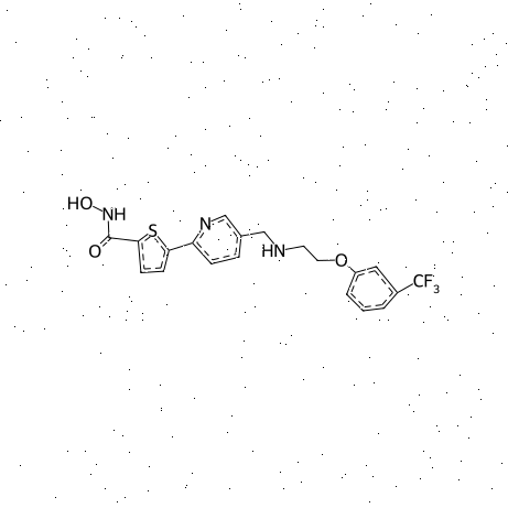 O=C(NO)c1ccc(-c2ccc(CNCCOc3cccc(C(F)(F)F)c3)cn2)s1